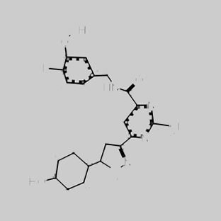 COc1cc(CNC(=O)c2cc(C3=NOC(C4CCC(O)CC4)C3)nc(C)n2)ccc1F